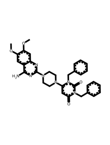 COc1cc2nc(N3CCN(c4cc(=O)n(Cc5ccccc5)c(=O)n4Cc4ccccc4)CC3)nc(N)c2cc1OC